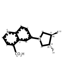 O=C(O)c1ccnc2ccc(N3C[C@@H](F)[C@H](F)C3)cc12